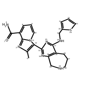 Cc1nc2c(C(N)=O)cccn2c1-c1nc2c(c(NCc3cccs3)n1)CCCNC2